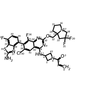 C=CC(=O)N1CC(Nc2nc(OCC34CCCN3CC(F)(F)C4)nc3c(F)c(-c4ccc(F)c5sc(N)nc45)c(Cl)cc23)C1